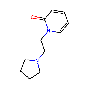 O=c1ccccn1CCN1CCCC1